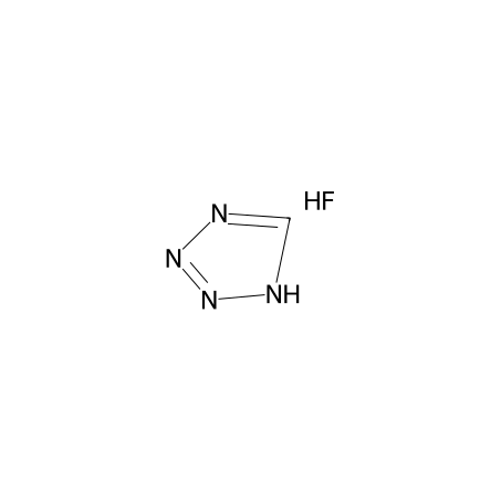 F.c1nnn[nH]1